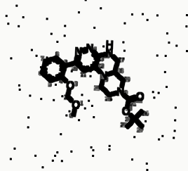 COCOc1ccccc1-c1cc2c(nn1)NCC1CN(C(=O)OC(C)(C)C)CCN21